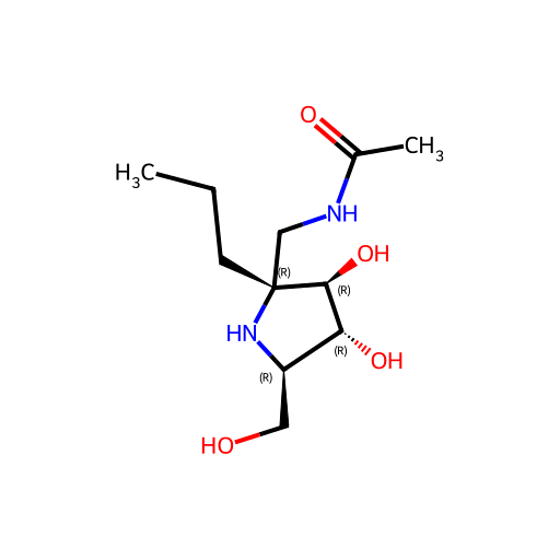 CCC[C@]1(CNC(C)=O)N[C@H](CO)[C@@H](O)[C@@H]1O